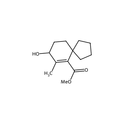 COC(=O)C1=C(C)C(O)CCC12CCCC2